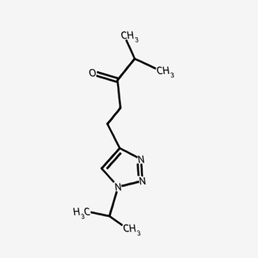 CC(C)C(=O)CCc1cn(C(C)C)nn1